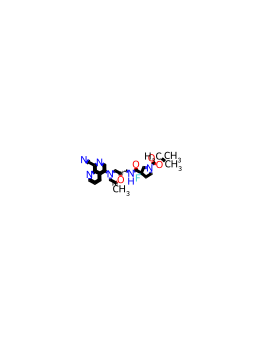 C[C@@H]1CN(c2cnc(C#N)c3ncccc23)C[C@H](CNC(=O)C2(F)CCN(C(=O)OC(C)(C)C)C2)O1